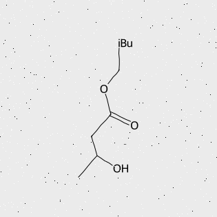 CCC(C)COC(=O)CC(C)O